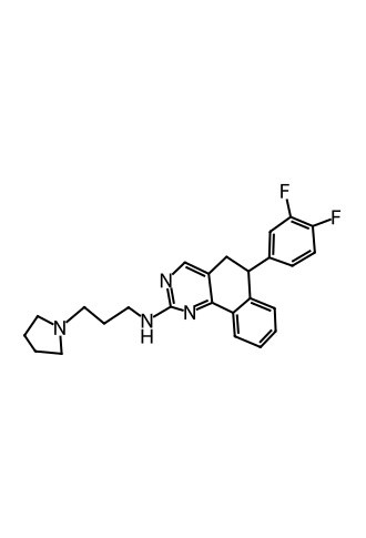 Fc1ccc(C2Cc3cnc(NCCCN4CCCC4)nc3-c3ccccc32)cc1F